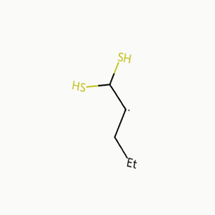 [CH2]CC[CH]C(S)S